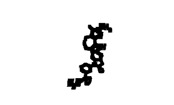 Cc1c2c(nn1N)-c1[nH]c3cc4c(cc3c1CCC2)N(c1cccc(C(N)=O)c1)C(=O)C4